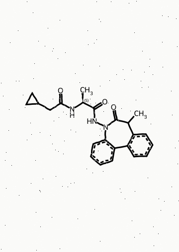 CC1C(=O)N(NC(=O)[C@H](C)NC(=O)CC2CC2)c2ccccc2-c2ccccc21